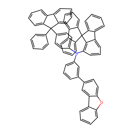 c1ccc(C2(c3ccc(N(c4cccc(-c5ccc6oc7ccccc7c6c5)c4)c4cccc5c4C4(c6ccccc6-c6ccccc64)c4ccccc4-5)cc3)c3ccccc3-c3ccccc32)cc1